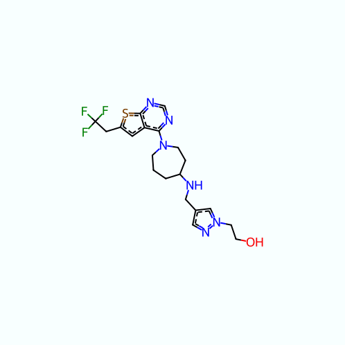 OCCn1cc(CNC2CCCN(c3ncnc4sc(CC(F)(F)F)cc34)CC2)cn1